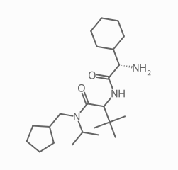 CC(C)N(CC1CCCC1)C(=O)C(NC(=O)[C@@H](N)C1CCCCC1)C(C)(C)C